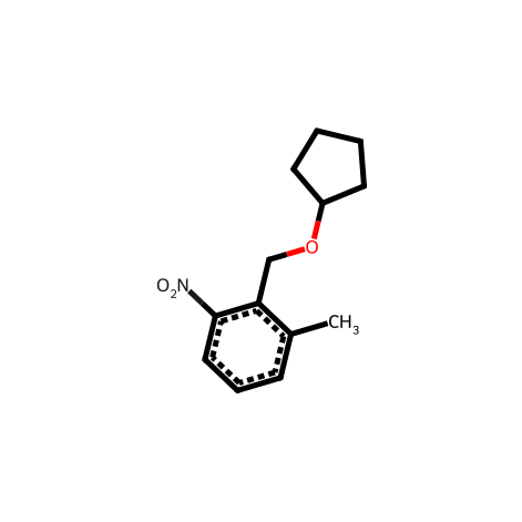 Cc1cccc([N+](=O)[O-])c1COC1CCCC1